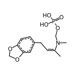 CC(=CCc1ccc2c(c1)OCO2)N(C)COP(=O)(O)O